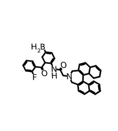 BC1=CC=C(NC(=O)CN2CC3=C(c4c(ccc5ccccc45)C2)C2CCC=CC2C=C3)C(C(=O)c2ccccc2F)C1